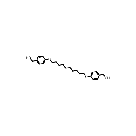 OCc1ccc(OCCCCCCCCCCOc2ccc(CO)cc2)cc1